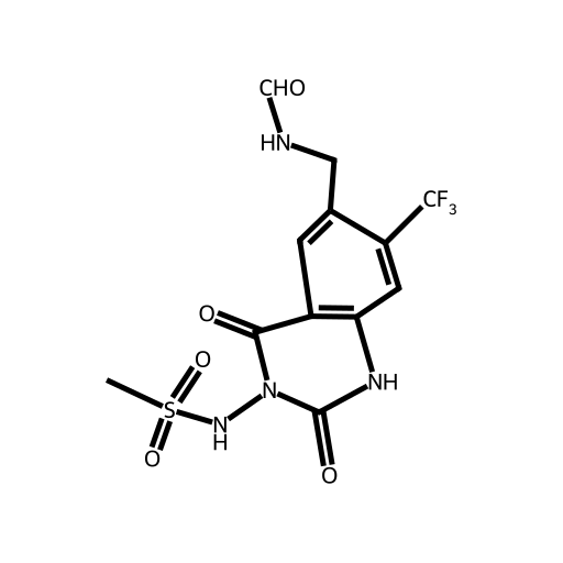 CS(=O)(=O)Nn1c(=O)[nH]c2cc(C(F)(F)F)c(CNC=O)cc2c1=O